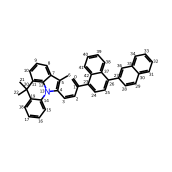 C=C(/C=C\c1c(C)c2cccc3c2n1-c1ccccc1C3(C)C)c1ccc(-c2ccc3ccccc3c2)c2ccccc12